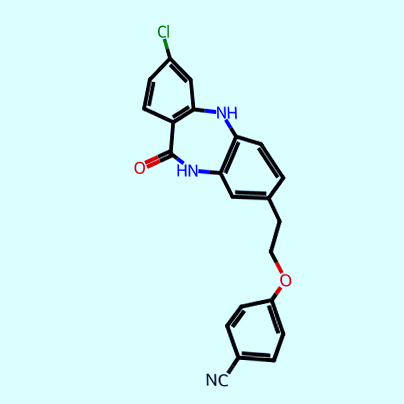 N#Cc1ccc(OCCc2ccc3c(c2)NC(=O)c2ccc(Cl)cc2N3)cc1